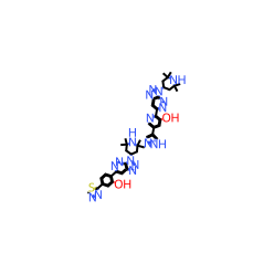 CC1(C)CC(n2nnc3cc(-c4ncc(-c5c[nH][n+](CC6(C)CC(n7nnc8cc(-c9ccc(-c%10nncs%10)cc9O)nnc87)CC(C)(C)N6)c5)cc4O)nnc32)CC(C)(C)N1